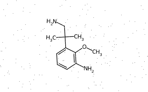 COc1c(N)cccc1C(C)(C)CN